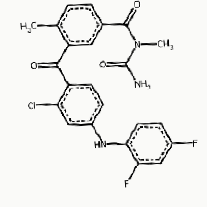 Cc1ccc(C(=O)N(C)C(N)=O)cc1C(=O)c1ccc(Nc2ccc(F)cc2F)cc1Cl